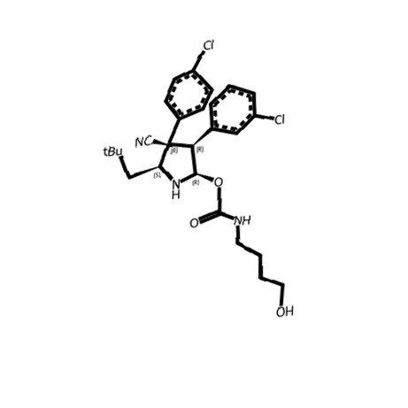 CC(C)(C)C[C@@H]1N[C@H](OC(=O)NCCCCO)[C@H](c2cccc(Cl)c2)[C@@]1(C#N)c1ccc(Cl)cc1